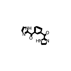 O=C(c1cccc(C(=O)c2ncc[nH]2)c1)c1ncc[nH]1